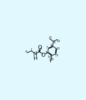 CCNC(=O)Oc1cc(C(C)C)ccc1F